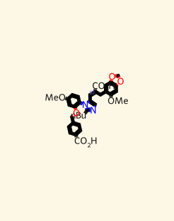 CCCCc1ncc(/C=C(\Cc2cc3c(cc2OC)OCO3)C(=O)O)n1-c1ccc(OC)cc1OCc1ccc(C(=O)O)cc1